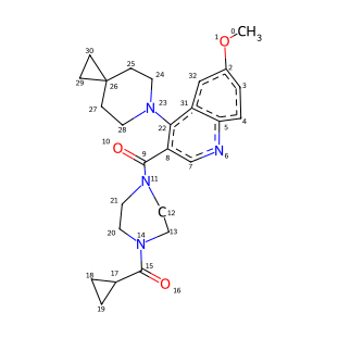 COc1ccc2ncc(C(=O)N3CCN(C(=O)C4CC4)CC3)c(N3CCC4(CC3)CC4)c2c1